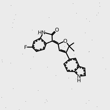 CC1(C)OC(=C2C(=O)Nc3cc(F)ccc32)C=C1c1ccc2[nH]ccc2c1